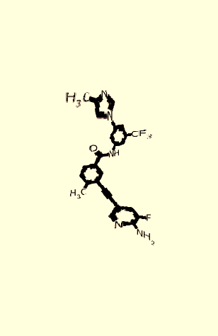 Cc1cn(-c2cc(NC(=O)c3ccc(C)c(C#Cc4cnc(N)c(F)c4)c3)cc(C(F)(F)F)c2)cn1